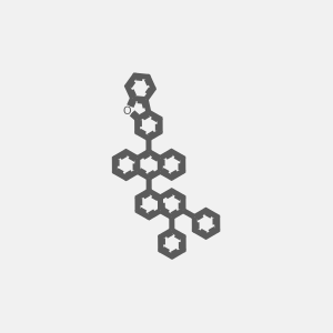 c1ccc(-c2ccc3c(-c4c5ccccc5c(-c5ccc6c(c5)oc5ccccc56)c5ccccc45)cccc3c2-c2ccccc2)cc1